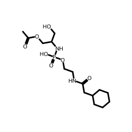 CC(=O)OCC(CO)NP(=O)(O)OCCNC(=O)CC1CCCCC1